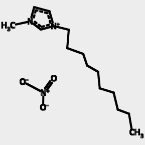 CCCCCCCCCC[n+]1ccn(C)c1.O=[N+]([O-])[O-]